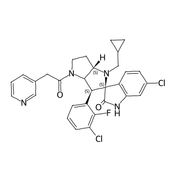 O=C(Cc1cccnc1)N1CC[C@H]2C1[C@H](c1cccc(Cl)c1F)[C@]1(C(=O)Nc3cc(Cl)ccc31)N2CC1CC1